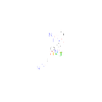 CN(C)CCOc1ccccc1C(=O)Nc1ccc(C(=O)N(C)c2ccccc2OCCCCCC(=O)N2CCN(C)CC2)cc1.Cl.Cl